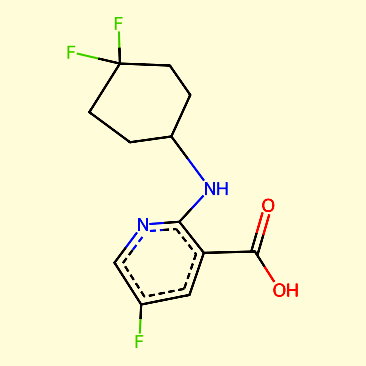 O=C(O)c1cc(F)cnc1NC1CCC(F)(F)CC1